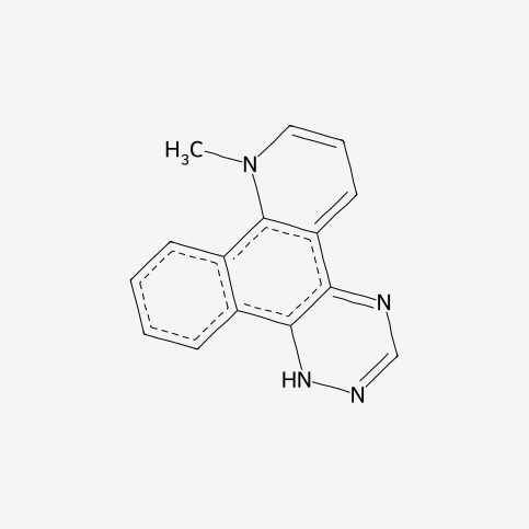 CN1C=CC=c2c1c1ccccc1c1c2=NC=NN1